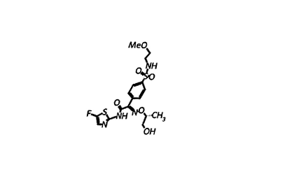 COCCNS(=O)(=O)c1ccc(/C(=N\O[C@H](C)CO)C(=O)Nc2ncc(F)s2)cc1